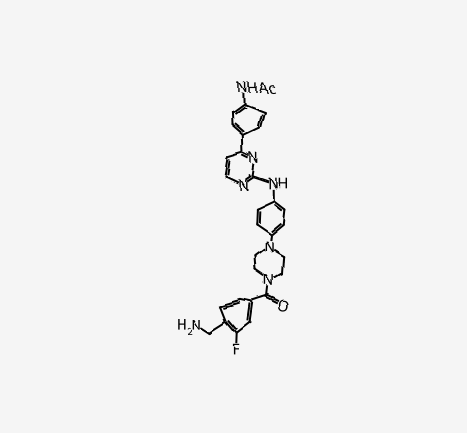 CC(=O)Nc1ccc(-c2ccnc(Nc3ccc(N4CCN(C(=O)c5ccc(CN)c(F)c5)CC4)cc3)n2)cc1